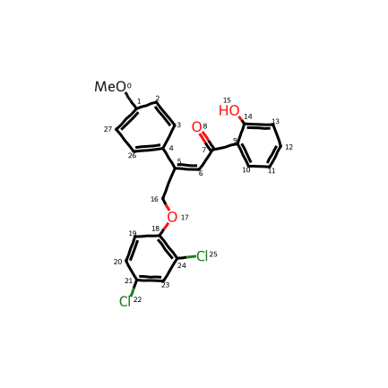 COc1ccc(/C(=C\C(=O)c2ccccc2O)COc2ccc(Cl)cc2Cl)cc1